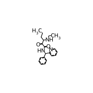 CCCC(NCC)C(=O)C(=O)NC(c1ccccc1)c1ccccn1